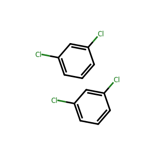 Clc1cccc(Cl)c1.Clc1cccc(Cl)c1